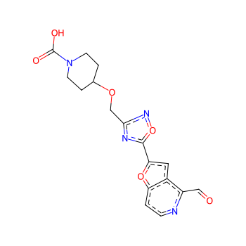 O=Cc1nccc2oc(-c3nc(COC4CCN(C(=O)O)CC4)no3)cc12